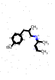 C/C=C\C(C)=N/CC(C)Cc1ccc(C(C)(C)C)cc1